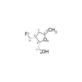 CC1C[C@@H](CF)[C@@H](CO)O1